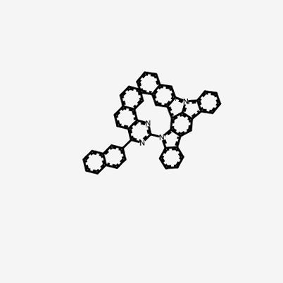 c1ccc2cc(-c3nc(-n4c5ccccc5c5cc6c7ccccc7n7c8cc9ccccc9cc8c(c54)c67)nc4c3ccc3ccccc34)ccc2c1